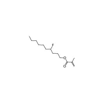 C=C(C)C(=O)OCCCC(F)CCCCCC